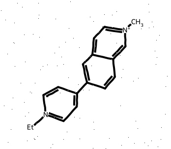 CC[n+]1ccc(-c2ccc3c[n+](C)ccc3c2)cc1